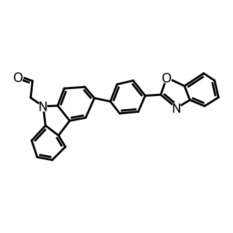 O=CCn1c2ccccc2c2cc(-c3ccc(-c4nc5ccccc5o4)cc3)ccc21